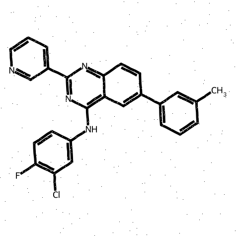 Cc1cccc(-c2ccc3nc(-c4cccnc4)nc(Nc4ccc(F)c(Cl)c4)c3c2)c1